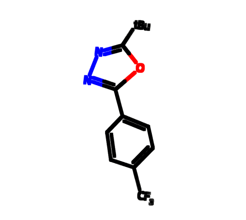 CC(C)(C)c1nnc(-c2ccc(C(F)(F)F)cc2)o1